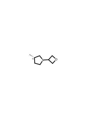 C[C@H]1CCN(C2COC2)C1